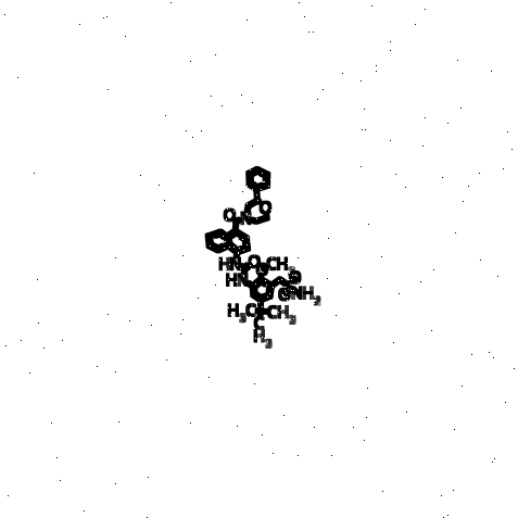 COc1c(CS(N)(=O)=O)cc(C(C)(C)C)cc1NC(=O)Nc1ccc(C(=O)N2CCOC(c3ccccc3)C2)c2ccccc12